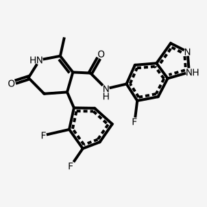 CC1=C(C(=O)Nc2cc3cn[nH]c3cc2F)C(c2cccc(F)c2F)CC(=O)N1